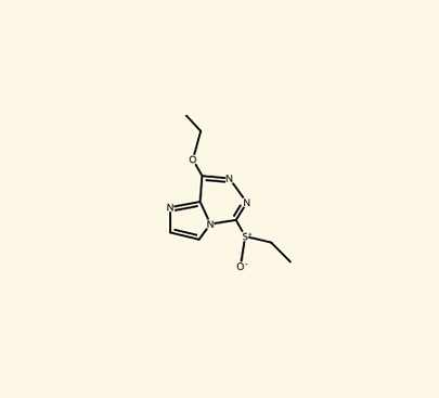 CCOc1nnc([S+]([O-])CC)n2ccnc12